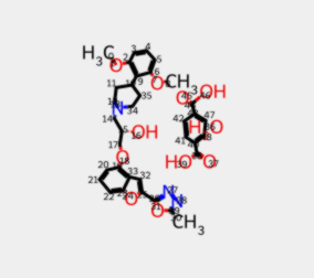 COc1cccc(OC)c1C1CCN(C[C@H](O)COc2cccc3oc(-c4nnc(C)o4)cc23)CC1.O.O=C(O)c1ccc(C(=O)O)cc1